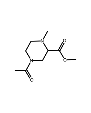 COC(=O)C1CN(C(C)=O)CCN1C